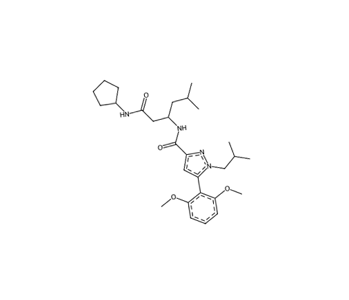 COc1cccc(OC)c1-c1cc(C(=O)NC(CC(=O)NC2CCCC2)CC(C)C)nn1CC(C)C